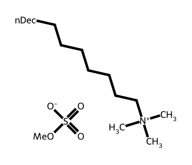 CCCCCCCCCCCCCCCCC[N+](C)(C)C.COS(=O)(=O)[O-]